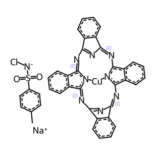 Cc1ccc(S(=O)(=O)[N-]Cl)cc1.[Na+].c1ccc2c(c1)C1=NC/2=N\c2c3ccccc3c3[n]2[Cu][n]2/c(c4ccccc4/c2=N/C2=N\C(=N/3)c3ccccc32)=N\1